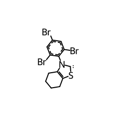 Brc1cc(Br)c(N2[C]SC3=C2CCCC3)c(Br)c1